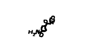 NC(=O)c1ccc(C(=O)CN2CCOCC2)cc1